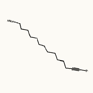 CCCCCCCCCCCCCCCCCCCCCC#C[P]